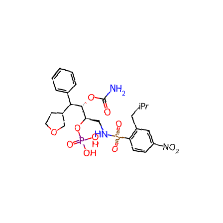 CC(C)Cc1cc([N+](=O)[O-])ccc1S(=O)(=O)NC[C@@H](OP(=O)(O)O)[C@@H](OC(N)=O)C(c1ccccc1)C1CCOC1